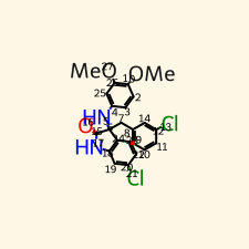 COc1ccc(NC2(Cc3cccc(Cl)c3)C(=O)Nc3cc(Cl)ccc32)cc1OC